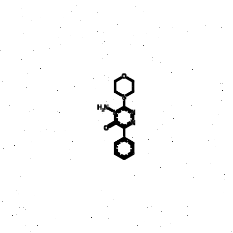 Nn1c(N2CCOCC2)nnc(-c2ccccc2)c1=O